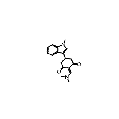 CN(C)C=C1C(=O)CC(c2cn(C)c3ccccc23)CC1=O